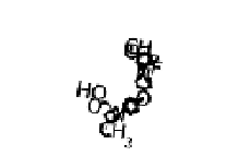 COc1ccc(F)c(N2CCC(Oc3ccc(N4C[C@H](C)C[C@@H]4CC(=O)O)cc3)CC2)c1